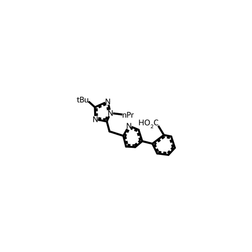 CCCn1nc(C(C)(C)C)nc1Cc1ccc(-c2ccccc2C(=O)O)cn1